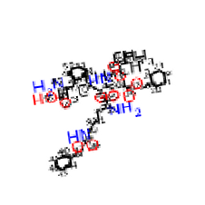 CC(C)C[C@H](NC(=O)OC(C)(C)C)[C@H](CC(=O)OCc1ccccc1)OC(=O)[C@@H](N)CCCCNC(=O)OCc1ccccc1.N[C@@H](Cc1ccccc1)C(=O)O